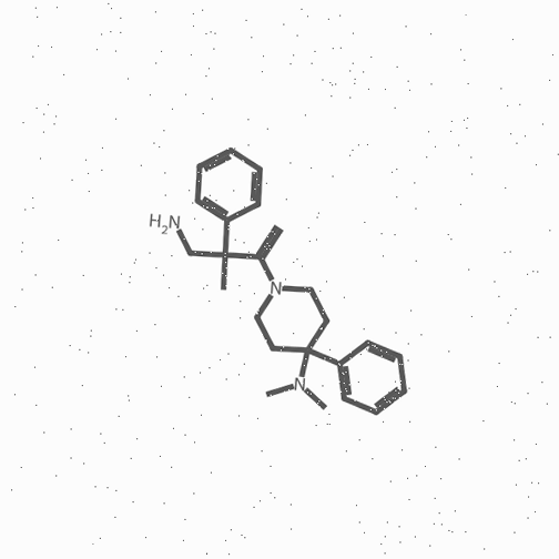 C=C(N1CCC(c2ccccc2)(N(C)C)CC1)C(C)(CN)c1ccccc1